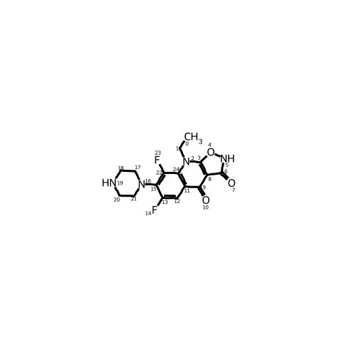 CCn1c2o[nH]c(=O)c2c(=O)c2cc(F)c(N3CCNCC3)c(F)c21